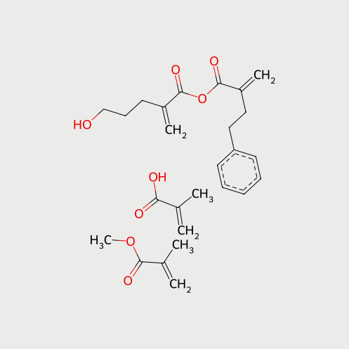 C=C(C)C(=O)O.C=C(C)C(=O)OC.C=C(CCCO)C(=O)OC(=O)C(=C)CCc1ccccc1